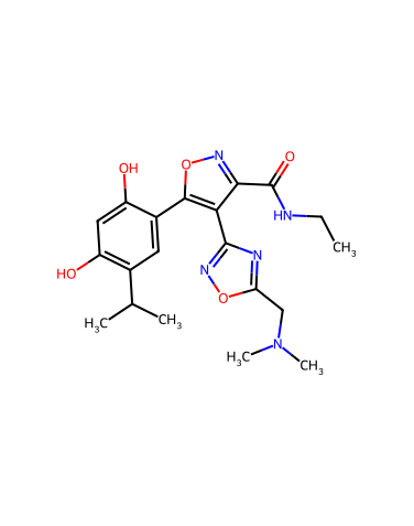 CCNC(=O)c1noc(-c2cc(C(C)C)c(O)cc2O)c1-c1noc(CN(C)C)n1